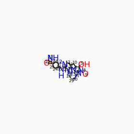 CC1(n2c(C(O)N(N)C=O)cc3cnc(Nc4ccc([S+](N)[O-])cc4)nc32)CCCCC1